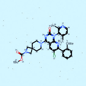 COc1ccccc1-c1nc2c(cc1Cl)c(N1CCC3(CC1)CN(C(=O)OC(C)(C)C)C3)nc(=O)n2-c1c(C)ccnc1C(C)C